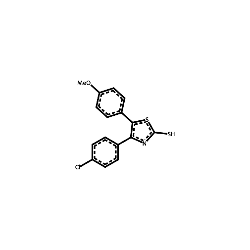 COc1ccc(-c2sc(S)nc2-c2ccc(Cl)cc2)cc1